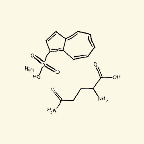 NC(=O)CCC(N)C(=O)O.O=S(=O)(O)c1ccc2cccccc1-2.[NaH]